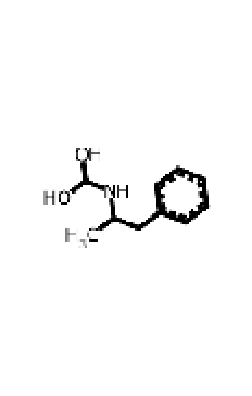 CC(Cc1ccccc1)NC(O)O